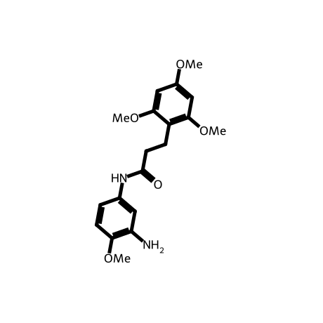 COc1cc(OC)c(CCC(=O)Nc2ccc(OC)c(N)c2)c(OC)c1